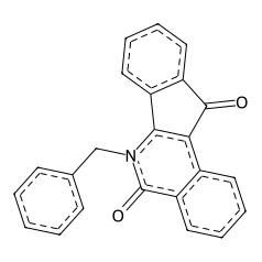 O=C1c2ccccc2-c2c1c1ccccc1c(=O)n2Cc1ccccc1